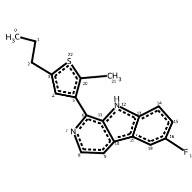 CCCc1cc(-c2nccc3c2[nH]c2ccc(F)cc23)c(C)s1